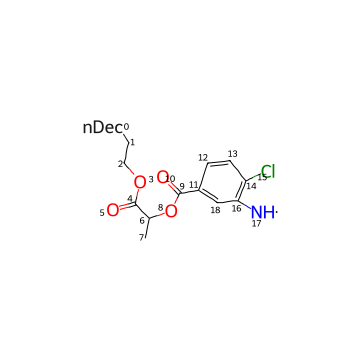 CCCCCCCCCCCCOC(=O)C(C)OC(=O)c1ccc(Cl)c([NH])c1